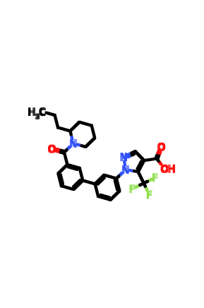 CCCC1CCCCN1C(=O)c1cccc(-c2cccc(-n3ncc(C(=O)O)c3C(F)(F)F)c2)c1